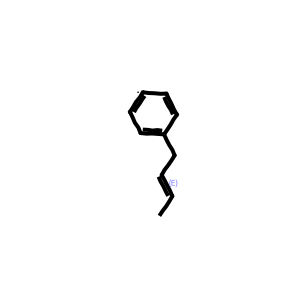 C/C=C/Cc1cc[c]cc1